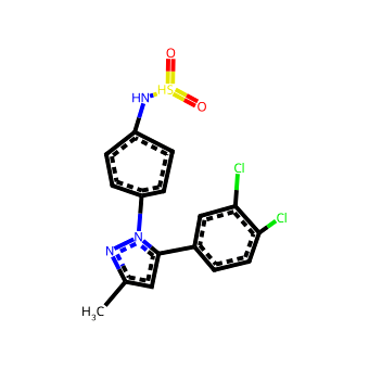 Cc1cc(-c2ccc(Cl)c(Cl)c2)n(-c2ccc(N[SH](=O)=O)cc2)n1